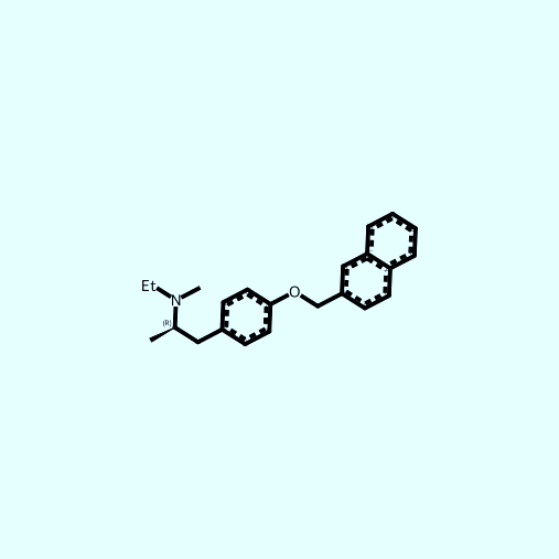 CCN(C)[C@H](C)Cc1ccc(OCc2ccc3ccccc3c2)cc1